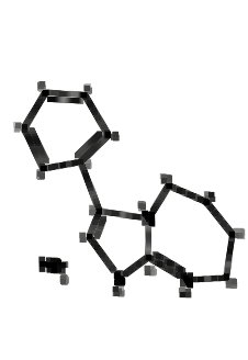 Br.C1=C(c2ccccc2)N2CCCCN=C2S1